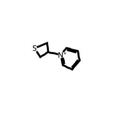 c1cc[n+](C2CSC2)cc1